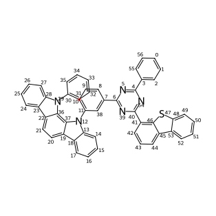 c1ccc(-c2nc(-c3cccc(-n4c5ccccc5c5ccc6c7ccccc7n(-c7ccccc7)c6c54)c3)nc(-c3cccc4c3sc3ccccc34)n2)cc1